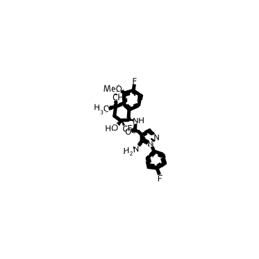 COc1c(F)ccc2c1C(C)(C)C[C@](O)(C(F)(F)F)[C@@H]2NC(=O)c1cnn(-c2ccc(F)cc2)c1N